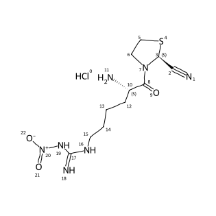 Cl.N#C[C@@H]1SCCN1C(=O)[C@@H](N)CCCCNC(=N)N[N+](=O)[O-]